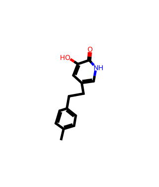 Cc1ccc(CCc2c[nH]c(=O)c(O)c2)cc1